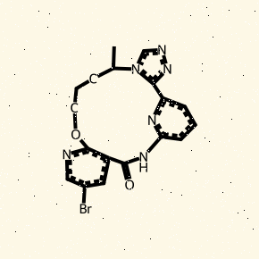 CC1CCCOc2ncc(Br)cc2C(=O)Nc2cccc(n2)-c2nncn21